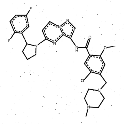 COc1cc(CN2CCN(C)CC2)c(Cl)cc1C(=O)Nc1cnn2ccc(N3CCCC3c3cc(F)ccc3F)nc12